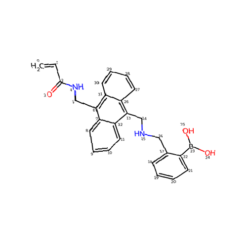 C=CC(=O)NCc1c2ccccc2c(CNCc2ccccc2B(O)O)c2ccccc12